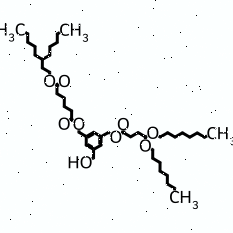 CCCCCCCCOC(CCC(=O)OCc1cc(CO)cc(COC(=O)CCCCC(=O)OCCC(CCCCC)CCCCC)c1)OCCCCCCCC